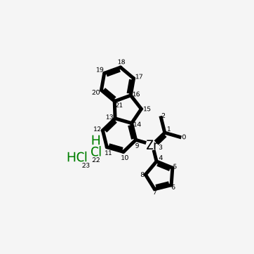 C[C](C)=[Zr]([C]1=CC=CC1)[c]1cccc2c1Cc1ccccc1-2.Cl.Cl